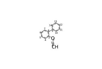 C#COc1ccccc1-c1ccccc1